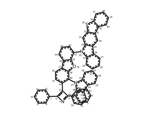 c1ccc(C2=NC(c3ccccc3)=C2c2ccc3c(oc4c(-n5c6ccccc6c6cc7c(cc65)sc5ccccc57)cccc43)c2-n2c3ccccc3c3ccccc32)cc1